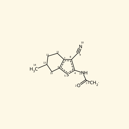 [CH2]C(=O)Nc1sc2c(c1C#N)CCC(C)C2